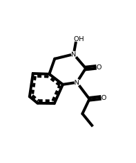 CCC(=O)N1C(=O)N(O)Cc2ccccc21